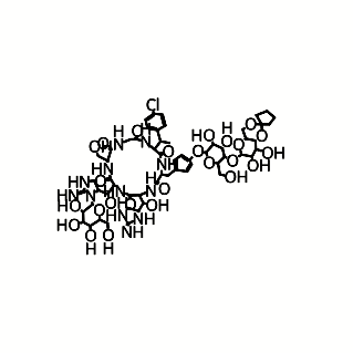 CC(c1ccc(Cl)cc1)C1NC(=O)CNC(=O)C(CO)NC(=O)C(C(O)C2CNC(=N)N2C2OC(CO)C(O)C(O)C2O)NC(=O)C(C(O)C2CNC(=N)N2)NC(=O)C(Cc2ccc(OC3OC(CO)C(OC4OC5COC6(CCCC6)OC5C(O)C4O)C(O)C3O)cc2)NC1=O